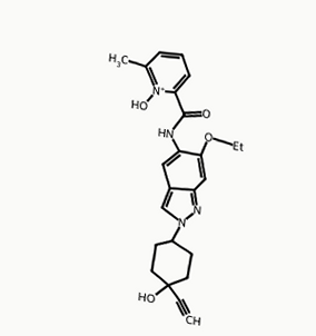 C#CC1(O)CCC(n2cc3cc(NC(=O)c4cccc(C)[n+]4O)c(OCC)cc3n2)CC1